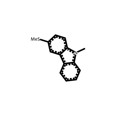 CSc1ccc2c(c1)c1ccccc1n2C